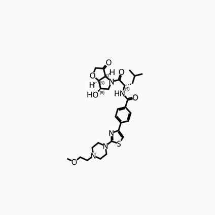 COCCN1CCN(c2nc(-c3ccc(C(=O)N[C@@H](CC(C)C)C(=O)N4C[C@@H](O)[C@H]5OCC(=O)[C@H]54)cc3)cs2)CC1